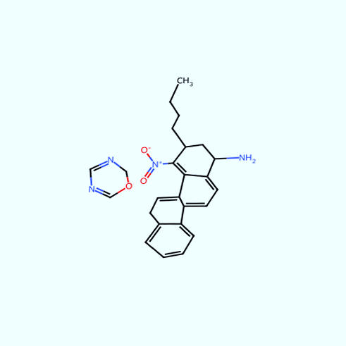 C1=NC=NCO1.CCCCC1CC(N)c2ccc3c(c2=C1[N+](=O)[O-])=CCc1ccccc1-3